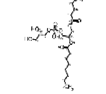 CCCCCCCC(=O)OC(COC(=O)CCCC)COP(=O)(O)OC[C@@H](O)CO